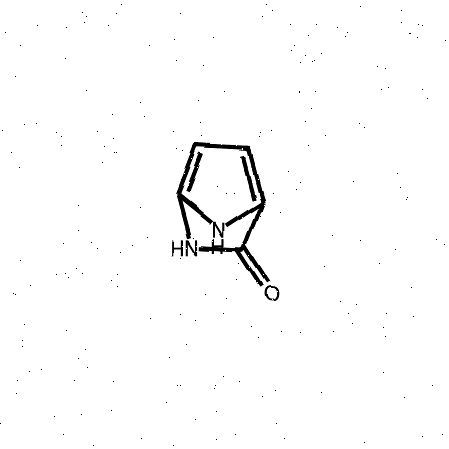 O=c1[nH]c2ccc1[nH]2